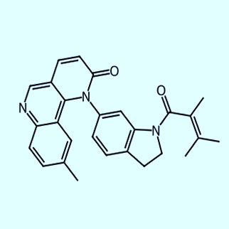 CC(C)=C(C)C(=O)N1CCc2ccc(-n3c(=O)ccc4cnc5ccc(C)cc5c43)cc21